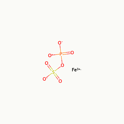 O=P([O-])([O-])OS(=O)(=O)[O-].[Fe+3]